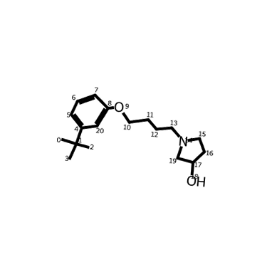 CC(C)(C)c1cccc(OCCCCN2CCC(O)C2)c1